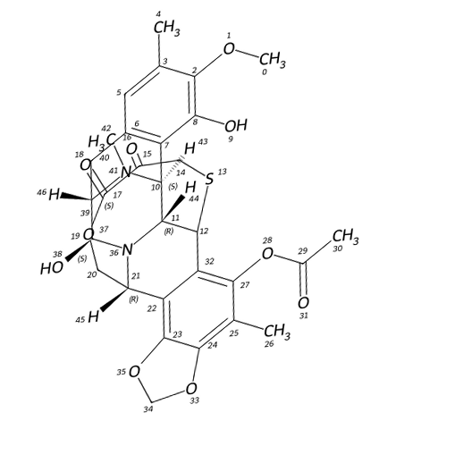 COc1c(C)cc2c(c1O)[C@H]1[C@@H]3C4SCC(=O)C(=O)OC[C@@H](c5c6c(c(C)c(OC(C)=O)c54)OCO6)N3[C@@H](O)[C@H](C2)N1C